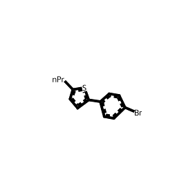 CCCc1ccc(-c2ccc(Br)cc2)s1